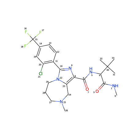 CNC(=O)C(NC(=O)c1nc(-c2ccc(C(F)(F)F)cc2Cl)n2c1CN(C)CCC2)C(C)(C)C